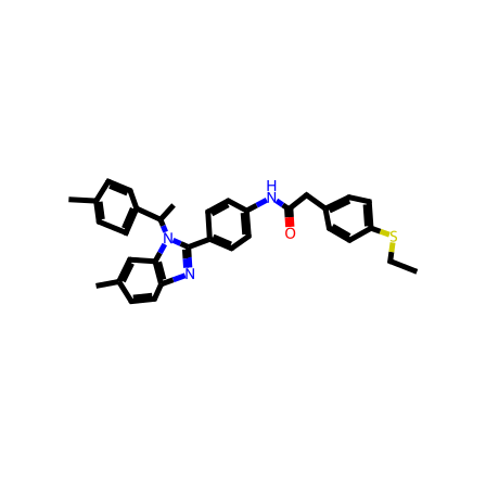 CCSc1ccc(CC(=O)Nc2ccc(-c3nc4ccc(C)cc4n3C(C)c3ccc(C)cc3)cc2)cc1